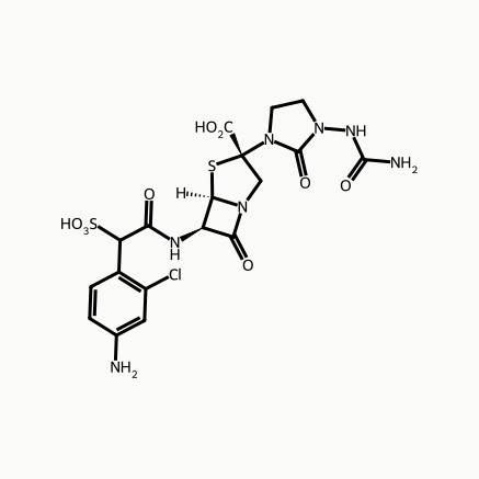 NC(=O)NN1CCN([C@]2(C(=O)O)CN3C(=O)[C@@H](NC(=O)C(c4ccc(N)cc4Cl)S(=O)(=O)O)[C@H]3S2)C1=O